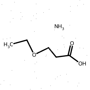 CCOCCC(=O)O.N